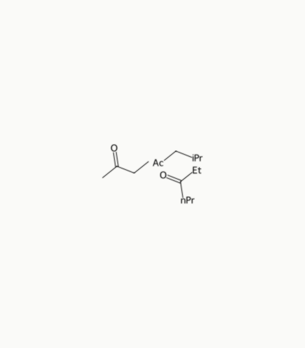 CC(=O)CC(C)C.CCC(C)=O.CCCC(=O)CC